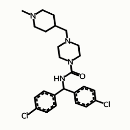 CN1CCC(CN2CCN(C(=O)NC(c3ccc(Cl)cc3)c3ccc(Cl)cc3)CC2)CC1